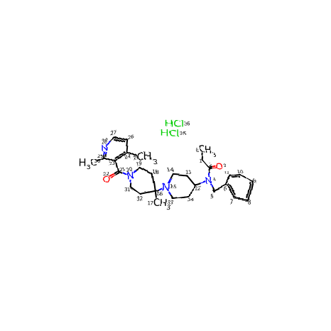 CCC(=O)N(Cc1ccccc1)C1CCN(C2(C)CCN(C(=O)c3c(C)ccnc3C)CC2)CC1.Cl.Cl